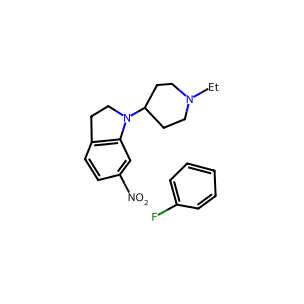 CCN1CCC(N2CCc3ccc([N+](=O)[O-])cc32)CC1.Fc1ccccc1